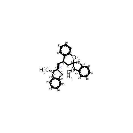 CN1/C(=C/C2CC3(Oc4ccccc42)Sc2ccccc2N3C)Sc2ccccc21